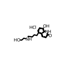 Cl.O=c1ccc2c(CCCCNCCO)ccc(O)c2[nH]1